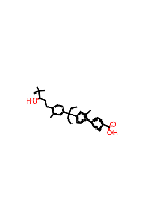 CCC(CC)(c1ccc(CCC(O)C(C)(C)C)c(C)c1)c1ccc(-c2ccc(C(=O)O)cc2)c(C)c1